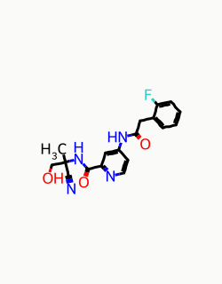 CC(C#N)(CO)NC(=O)c1cc(NC(=O)Cc2ccccc2F)ccn1